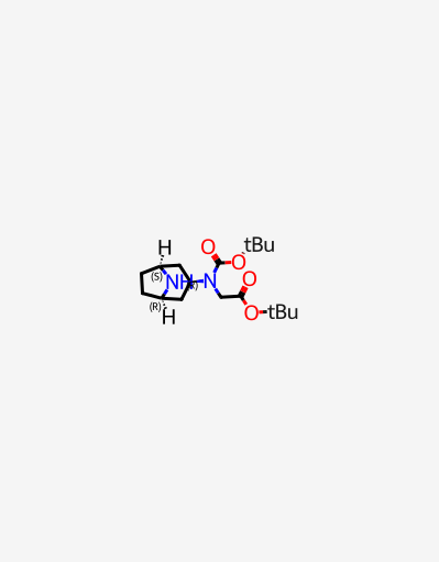 CC(C)(C)OC(=O)CN(C(=O)OC(C)(C)C)[C@H]1C[C@H]2CC[C@@H](C1)N2